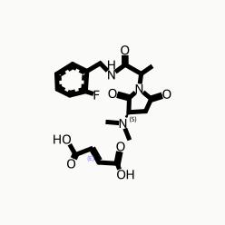 CC(C(=O)NCc1ccccc1F)N1C(=O)C[C@H](N(C)C)C1=O.O=C(O)/C=C/C(=O)O